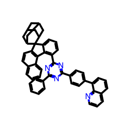 c1ccc(-c2nc(-c3ccc(-c4cccc5cccnc45)cc3)nc(-c3cccc4c3-c3c(ccc5ccccc35)C43C4CC5CC(C4)CC3C5)n2)cc1